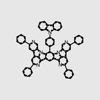 c1ccc(-c2cc3c4cc(-c5ccccc5)nc5c6cc7c8nc(-c9ccccc9)cc9c%10cc(-c%11ccccc%11)ncc%10n(c7c(-c7ccc(-n%10c%11ccccc%11c%11ccccc%11%10)cc7)c6n(c3cn2)c45)c98)cc1